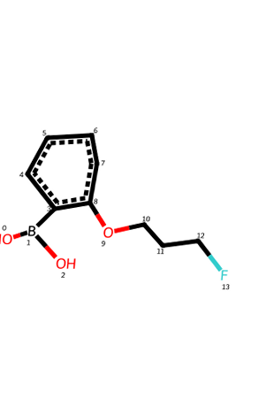 OB(O)c1ccccc1OCCCF